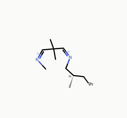 C/N=C\C(C)(C)/C=N\C[C@@H](C)CC(C)C